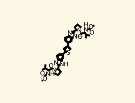 COC(=O)NC(C(=O)N1CCCC1c1nc2ccc(-c3csc(-c4ccc5nc(C6CCCN6C(=O)C(NC(=O)OC)C(C)C)[nH]c5c4)c3)cc2[nH]1)C(C)C